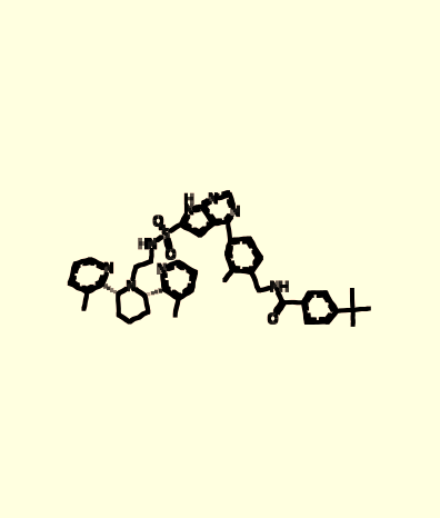 Cc1cc(-c2ncnc3[nH]c(S(=O)(=O)NCCN4[C@@H](c5ncccc5C)CCC[C@H]4c4ncccc4C)cc23)ccc1CNC(=O)c1ccc(C(C)(C)C)cc1